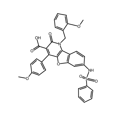 COc1ccc(-c2c(C(=O)O)c(=O)n(Cc3ccccc3OC)c3c2oc2cc(NS(=O)(=O)c4ccccc4)ccc23)cc1